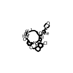 CO[C@@]1(CN2CC(N3CCOCC3)C2)/C=C/C[C@H](C)[C@@H](C)S(=O)(=O)NC(=O)c2ccc3c(c2)N(C[C@@H]2CC[C@H]21)C[C@@]1(CCCc2cc(Cl)ccc21)CO3